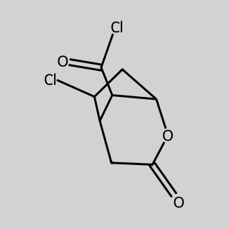 O=C1CC2C(Cl)CC(O1)C2C(=O)Cl